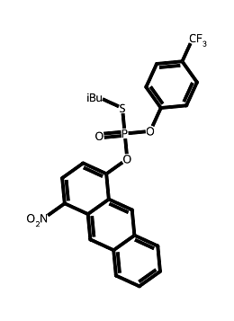 CCC(C)SP(=O)(Oc1ccc(C(F)(F)F)cc1)Oc1ccc([N+](=O)[O-])c2cc3ccccc3cc12